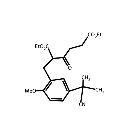 CCOC(=O)CCC(=O)C(Cc1cc(C(C)(C)C#N)ccc1OC)C(=O)OCC